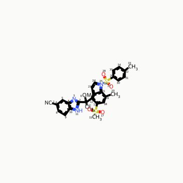 COC(c1nc2cc(C#N)ccc2[nH]1)(c1c(S(C)(=O)=O)cc(C)c2c1ccn2S(=O)(=O)c1ccc(C)cc1)C(F)(F)F